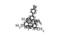 Cc1cc(C)c(B(c2c(C)cc(C)cc2C)c2c(C)cc(-c3ccc(Br)cc3)cc2C)c(C)c1